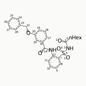 CCCCCCC(=O)NS(=O)(=O)c1ccccc1NC(=O)c1cccc(OCc2ccccc2)c1